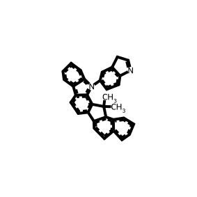 CC1(C)c2c(ccc3ccccc23)-c2ccc3c4ccccc4n(-c4ccc5c(c4)CC=N5)c3c21